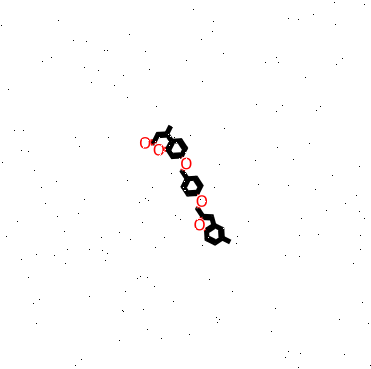 Cc1ccc2oc(COc3ccc(COc4ccc5c(C)cc(=O)oc5c4)cc3)cc2c1